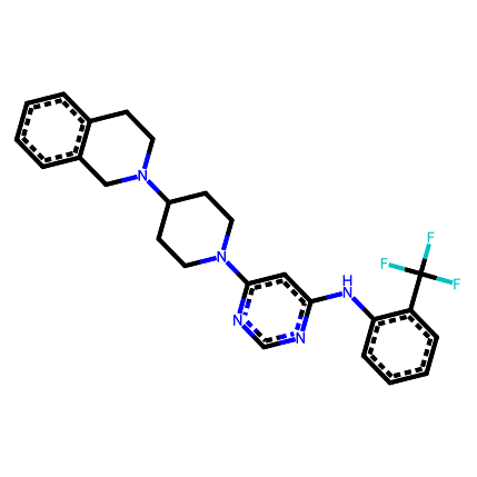 FC(F)(F)c1ccccc1Nc1cc(N2CCC(N3CCc4ccccc4C3)CC2)ncn1